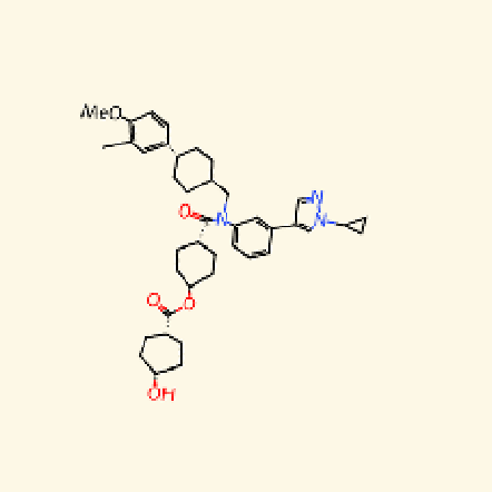 COc1ccc([C@H]2CC[C@H](CN(c3cccc(-c4cnn(C5CC5)c4)c3)C(=O)[C@H]3CC[C@H](OC(=O)[C@H]4CC[C@H](O)CC4)CC3)CC2)cc1C